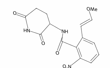 CO/C=C/c1cccc([N+](=O)[O-])c1C(=O)NC1CCC(=O)NC1=O